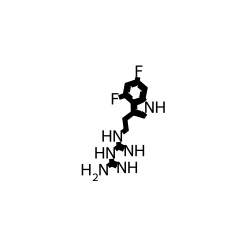 N=C(N)NC(=N)NCCc1c[nH]c2cc(F)cc(F)c12